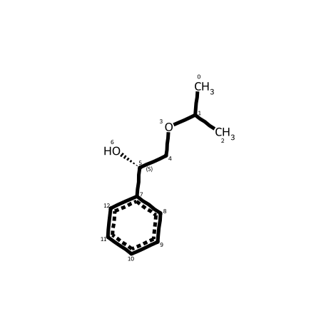 CC(C)OC[C@@H](O)c1ccccc1